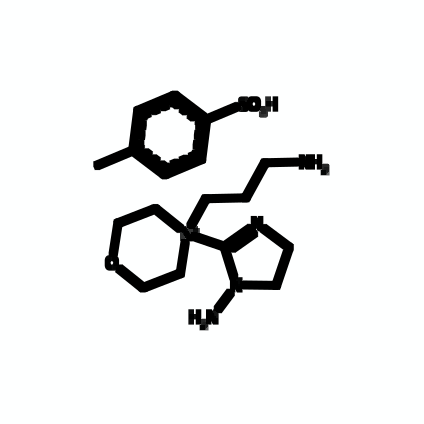 Cc1ccc(S(=O)(=O)O)cc1.NCCC[N+]1(C2=NCCN2N)CCOCC1